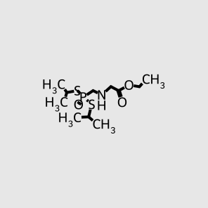 CCOC(=O)CNCP(=O)(SC(C)C)SC(C)C